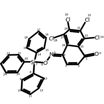 O=C1C=CC(=NO[Si](c2ccccc2)(c2ccccc2)c2ccccc2)c2c(Cl)c(Cl)c(Cl)c(Cl)c21